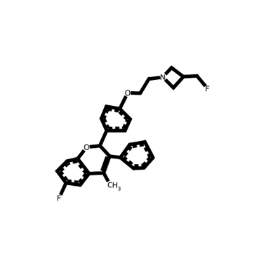 CC1=C(c2ccccc2)C(c2ccc(OCCN3CC(CF)C3)cc2)Oc2ccc(F)cc21